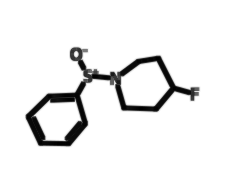 [O-][S+](c1ccccc1)N1CCC(F)CC1